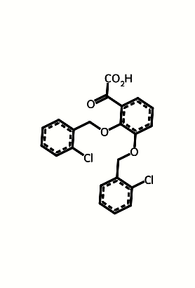 O=C(O)C(=O)c1cccc(OCc2ccccc2Cl)c1OCc1ccccc1Cl